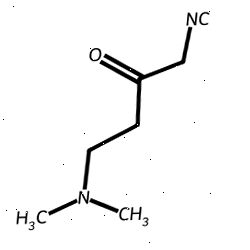 [C-]#[N+]CC(=O)CCN(C)C